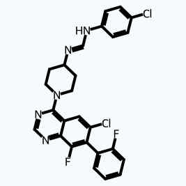 Fc1ccccc1-c1c(Cl)cc2c(N3CCC(N=CNc4ccc(Cl)cc4)CC3)ncnc2c1F